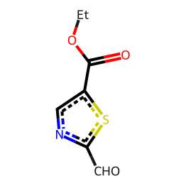 CCOC(=O)c1cnc(C=O)s1